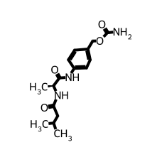 CC(C)CC(=O)N[C@@H](C)C(=O)Nc1ccc(COC(N)=O)cc1